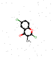 Cc1c(Cl)oc2ccc(Cl)cc2c1=O